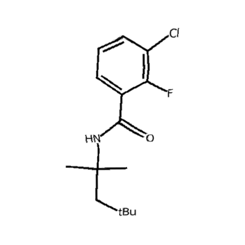 CC(C)(C)CC(C)(C)NC(=O)c1cccc(Cl)c1F